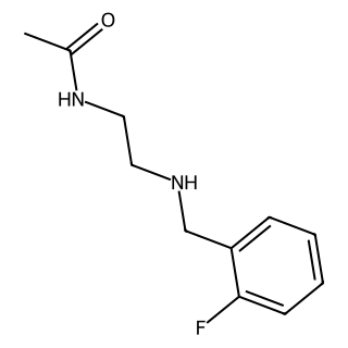 CC(=O)NCCNCc1ccccc1F